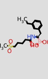 CCc1cccc(C[C@H](NC(=O)CCCCS(C)(=O)=O)B(O)O)c1